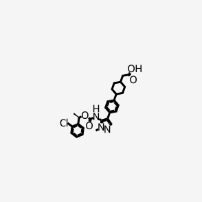 C[C@@H](OC(=O)Nc1c(-c2ccc(C3CCC(CC(=O)O)CC3)cc2)cnn1C)c1ccccc1Cl